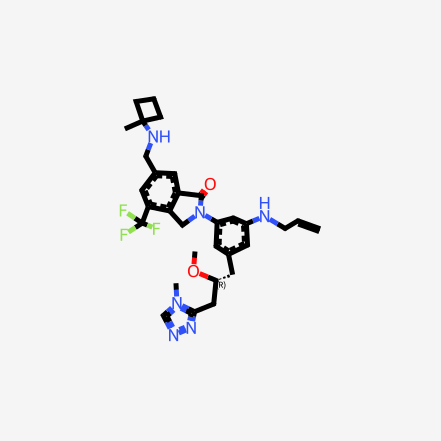 C=CCNc1cc(C[C@H](Cc2nncn2C)OC)cc(N2Cc3c(cc(CNC4(C)CCC4)cc3C(F)(F)F)C2=O)c1